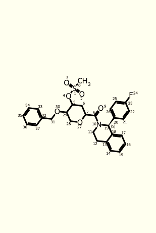 CS(=O)(=O)OC1CC(C(=O)N2CCc3ccccc3[C@@H]2c2ccc(F)cc2)OCC1OCc1ccccc1